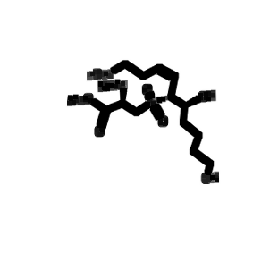 CCCCCCCCCCCC/C=C\[C@H]([C@@H](O)CCCCO)S(=O)(=O)C[C@H](NC(C)=O)C(=O)OC